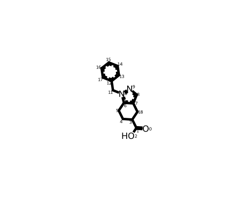 O=C(O)C1CCc2c(cnn2Cc2ccccc2)C1